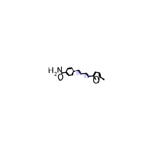 Cc1ccc(/C=C/C=C/c2ccc(C(N)=O)cc2)o1